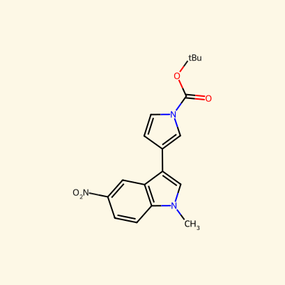 Cn1cc(-c2ccn(C(=O)OC(C)(C)C)c2)c2cc([N+](=O)[O-])ccc21